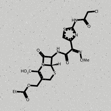 CCC(=O)OCC1=C(C(=O)O)N2C(=O)C(NC(=O)/C(=N\OC)c3csc(NC(=O)CCl)n3)[C@@H]2SC1